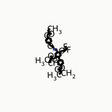 C=C(C)C(=O)Oc1ccc(-c2cc(OC=C(F)F)c(/C=C/COc3ccc(OC(=O)CC)cc3)cc2OC(=O)C(=C)C)cc1